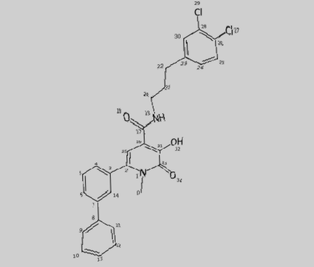 Cn1c(-c2cccc(-c3ccccc3)c2)cc(C(=O)NCCCc2ccc(Cl)c(Cl)c2)c(O)c1=O